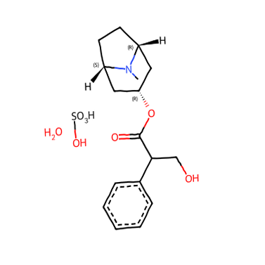 CN1[C@@H]2CC[C@H]1C[C@@H](OC(=O)C(CO)c1ccccc1)C2.O.O=S(=O)(O)O